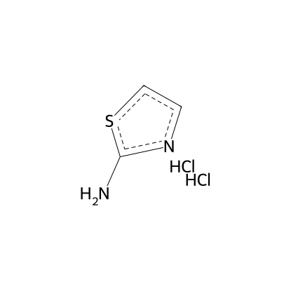 Cl.Cl.Nc1nccs1